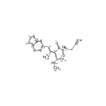 C#CCNC(=O)C(=O)C(/C(C)=C/c1ccc2occc2c1)=C(\C)NC